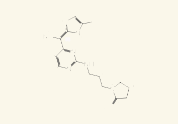 CC1=CS/C(=C(\C#N)c2ccnc(NCCCN3CCCC3=O)n2)N1